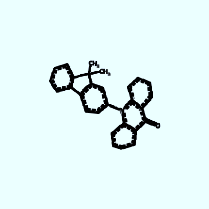 CC1(C)c2ccccc2-c2ccc(-n3c4ccccc4c(=O)c4ccccc43)cc21